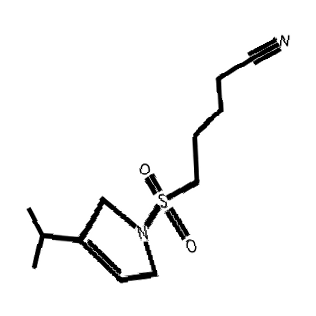 CC(C)C1=CCN(S(=O)(=O)CCCCC#N)C1